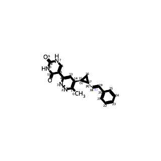 Cc1nnc(-c2c[nH]c(=O)[nH]c2=O)cc1[C@H]1C[C@@H]1/C=C/c1ccccc1